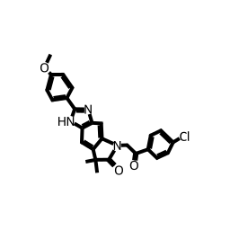 COc1ccc(-c2nc3cc4c(cc3[nH]2)C(C)(C)C(=O)N4CC(=O)c2ccc(Cl)cc2)cc1